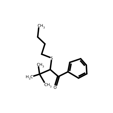 CCCCSC(C(=O)c1ccccc1)C(C)(C)C